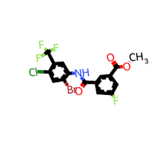 COC(=O)c1cc(F)cc(C(=O)Nc2cc(C(F)(F)F)c(Cl)cc2Br)c1